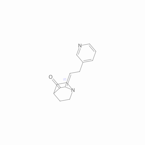 O=C1/C(=C/Cc2cccnc2)N2CCC1CC2